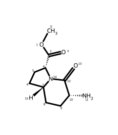 COC(=O)[C@H]1CC[C@H]2CC[C@@H](N)C(=O)N21